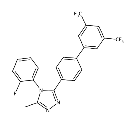 Cc1nnc(-c2ccc(-c3cc(C(F)(F)F)cc(C(F)(F)F)c3)cc2)n1-c1ccccc1F